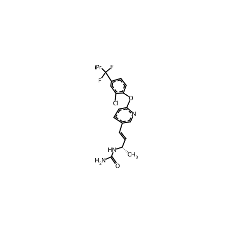 CC(C)C(F)(F)c1ccc(Oc2ccc(/C=C/[C@H](C)NC(N)=O)cn2)c(Cl)c1